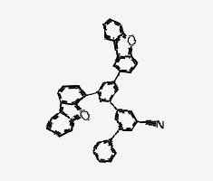 N#Cc1cc(-c2ccccc2)cc(-c2cc(-c3ccc4oc5ccccc5c4c3)cc(-c3cccc4c3oc3ccccc34)c2)c1